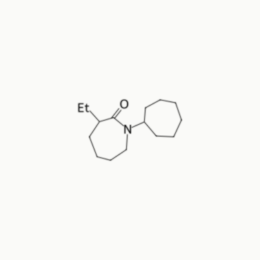 CCC1CCCCN(C2CCCCCC2)C1=O